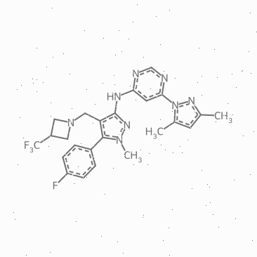 Cc1cc(C)n(-c2cc(Nc3nn(C)c(-c4ccc(F)cc4)c3CN3CC(C(F)(F)F)C3)ncn2)n1